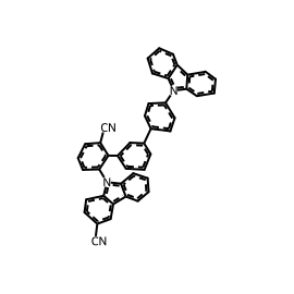 N#Cc1ccc2c(c1)c1ccccc1n2-c1cccc(C#N)c1-c1cccc(-c2ccc(-n3c4ccccc4c4ccccc43)cc2)c1